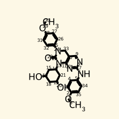 COc1ccc(Nc2ncc3c(n2)N(C2CC(O)CC(O)C2)C(=O)N(c2ccc(OC)cc2)C3)cc1